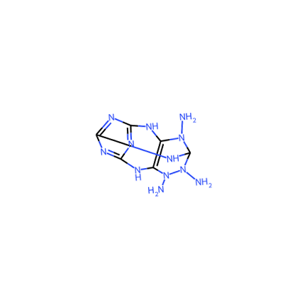 NN1C2=C3Nc4nc(nc(n4)NC1N(N)N3N)N2